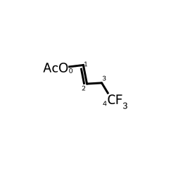 CC(=O)O/C=C/CC(F)(F)F